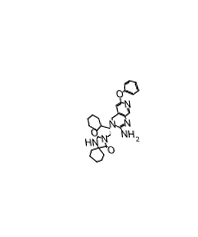 NC1=Nc2cnc(Oc3ccccc3)cc2CN1[C@H](CN1C(=O)NC2(CCCCC2)C1=O)C1CCCCC1